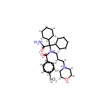 NC(=O)C(C1CCCCC1)(C1CCCCC1)N(CCCN1CCOCC1)C(=O)c1ccc([N+](=O)[O-])cc1